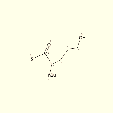 CCCCC(CCCO)C(=O)S